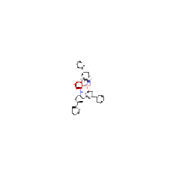 CN(C(=O)c1c(C=O)cccc1-n1c2ccc(-c3ccccc3)cc2c2cc(-c3ccccc3)ccc21)c1ccc(-c2ccccc2)cc1-c1ccccc1